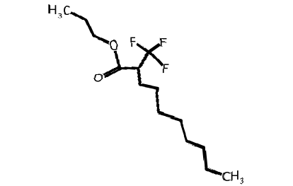 CCCCCCCCC(C(=O)OCCC)C(F)(F)F